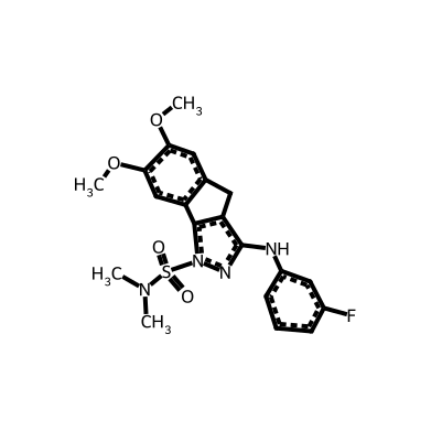 COc1cc2c(cc1OC)-c1c(c(Nc3cccc(F)c3)nn1S(=O)(=O)N(C)C)C2